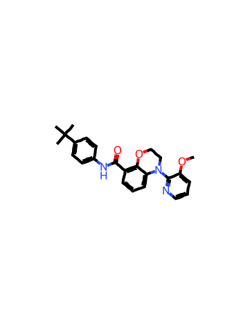 COc1cccnc1N1CCOc2c(C(=O)Nc3ccc(C(C)(C)C)cc3)cccc21